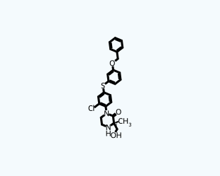 C[C@@]1(CO)NCCN(c2ccc(Sc3cccc(OCc4ccccc4)c3)cc2Cl)C1=O